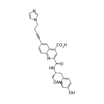 COC[C@H](Cc1ccc(O)cc1)NC(=O)c1cc(C(=O)O)c2cc(C#CCCn3ccnc3)ccc2n1